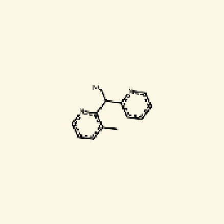 Cc1cccnc1C(C#N)c1ccccn1